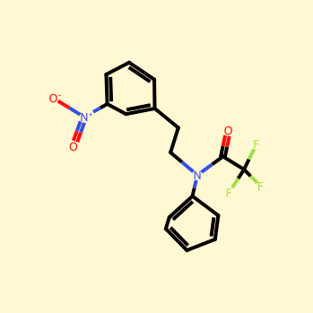 O=C(N(CCc1cccc([N+](=O)[O-])c1)c1ccccc1)C(F)(F)F